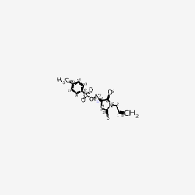 C=CCN1C(=O)/C(=N/OS(=O)(=O)c2ccc(C)cc2)SC1=S